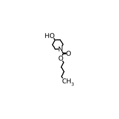 CCCCCOC(=O)N1CCC(O)CC1